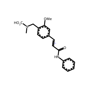 COc1cc(/C=C/C(=O)Nc2ccccc2)ccc1CN(C)C(=O)O